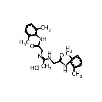 CC(=NCC(=O)Nc1c(C)cccc1C)NCC(=O)Nc1c(C)cccc1C.Cl